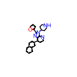 c1coc(-c2nc3c(-c4ccc5ccccc5c4)ccnc3n2C2CCNCC2)c1